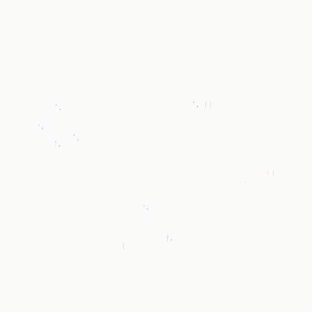 CCCCc1nc2ccc(C(C)(C)O)cc2c(=O)n1Cc1ccc(-c2ccccc2-c2nnn[nH]2)cc1.[NaH]